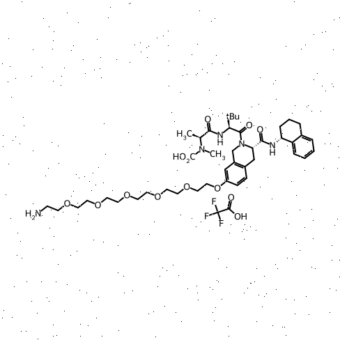 C[C@@H](C(=O)N[C@H](C(=O)N1Cc2cc(OCCOCCOCCOCCOCCOCCN)ccc2C[C@H]1C(=O)N[C@@H]1CCCc2ccccc21)C(C)(C)C)N(C)C(=O)O.O=C(O)C(F)(F)F